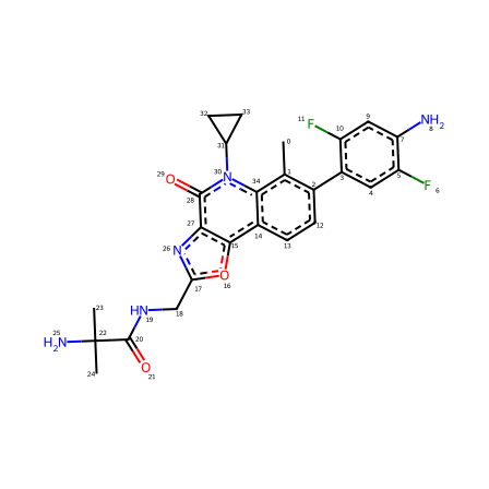 Cc1c(-c2cc(F)c(N)cc2F)ccc2c3oc(CNC(=O)C(C)(C)N)nc3c(=O)n(C3CC3)c12